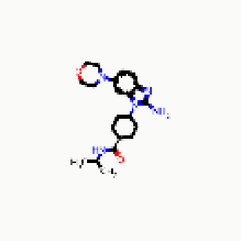 CC(C)NC(=O)[C@H]1CC[C@@H](n2c(N)nc3ccc(N4CCOCC4)cc32)CC1